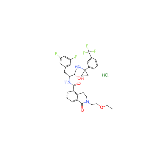 CCOCCN1CCc2c(C(=O)N[C@@H](Cc3cc(F)cc(F)c3)[C@@H](O)CNC3(c4cccc(C(F)(F)F)c4)CC3)cccc2C1=O.Cl